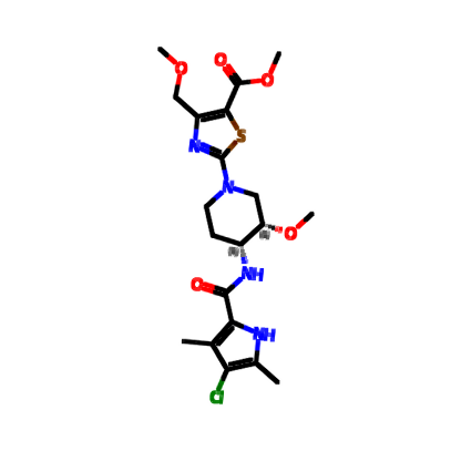 COCc1nc(N2CC[C@@H](NC(=O)c3[nH]c(C)c(Cl)c3C)[C@@H](OC)C2)sc1C(=O)OC